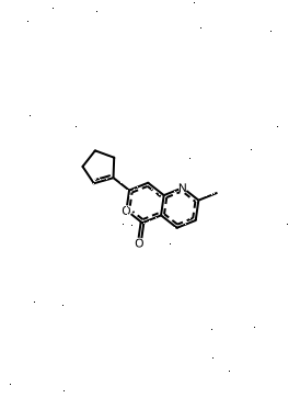 Cc1ccc2c(=O)oc(C3=CCCC3)cc2n1